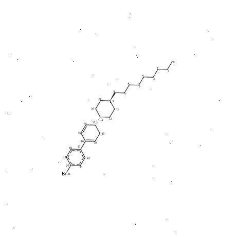 CCCCCCCCC[C@H]1CC[C@H](C2C=CC(c3ccc(Br)cc3)=CC2)CC1